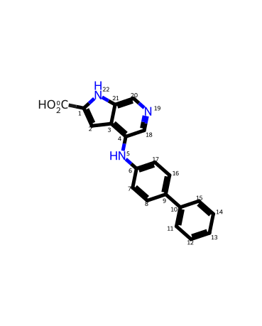 O=C(O)c1cc2c(Nc3ccc(-c4ccccc4)cc3)cncc2[nH]1